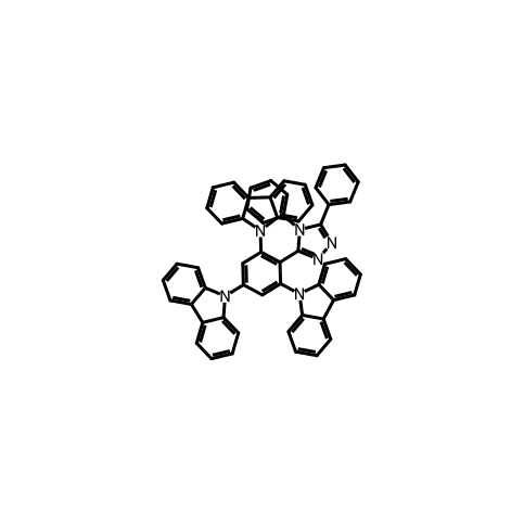 c1ccc(-c2nnc(-c3c(-n4c5ccccc5c5ccccc54)cc(-n4c5ccccc5c5ccccc54)cc3-n3c4ccccc4c4ccccc43)n2-c2ccccc2)cc1